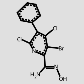 N/C(=N\O)c1nc(Cl)c(-c2ccccc2)c(Cl)c1Br